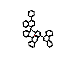 c1ccc(-c2ccc(N(c3ccc(-c4cc5ccccc5c5ccccc45)cc3)c3ccccc3-c3cccc4ccccc34)c3ccccc23)cc1